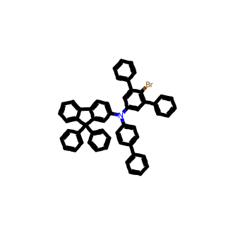 Brc1c(-c2ccccc2)cc(N(c2ccc(-c3ccccc3)cc2)c2ccc3c(c2)C(c2ccccc2)(c2ccccc2)c2ccccc2-3)cc1-c1ccccc1